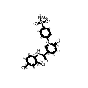 CNS(=O)(=O)c1ccc(-n2cc(C(=O)Nc3ccc(Cl)cc3Cl)ccc2=O)cc1